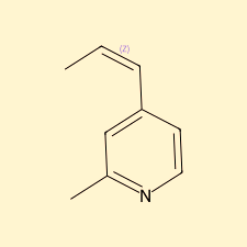 C/C=C\c1ccnc(C)c1